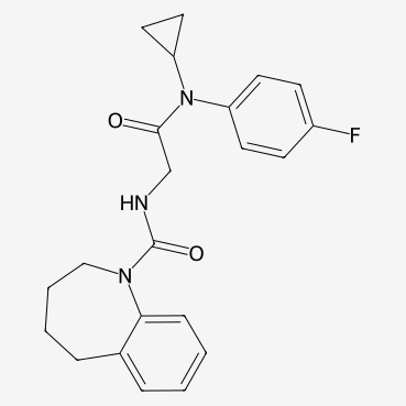 O=C(NCC(=O)N(c1ccc(F)cc1)C1CC1)N1CCCCc2ccccc21